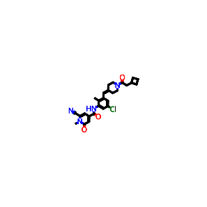 Cc1c(C=C2CCN(C(=O)CC3CCC3)CC2)cc(Cl)cc1NC(=O)c1cc(C#N)n(C)c(=O)c1